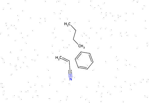 C=CC#N.CCCC.c1ccccc1